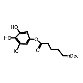 CCCCCCCCCCCCCCC(=O)Oc1cc(O)c(O)c(O)c1